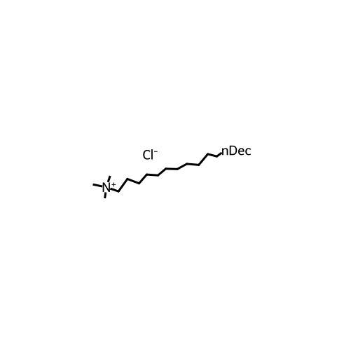 CCCCCCCCCCCCCCCCCCCCC[N+](C)(C)C.[Cl-]